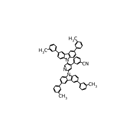 Cc1cccc(-c2ccc3c(c2)c2cc(-c4cccc(C)c4)ccc2n3-c2cc(-c3cccc(C#N)c3)c(-n3c4ccc(-c5cccc(C)c5)cc4c4cc(-c5cccc(C)c5)ccc43)cn2)c1